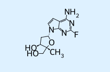 C[C@]1(CO)O[C@@H](n2ccc3c(N)nc(F)nc32)C[C@@H]1O